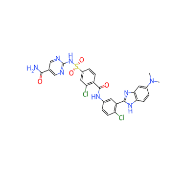 CN(C)c1ccc2[nH]c(-c3cc(NC(=O)c4ccc(S(=O)(=O)Nc5ncc(C(N)=O)cn5)cc4Cl)ccc3Cl)nc2c1